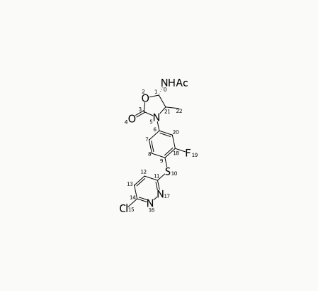 CC(=O)N[C@H]1OC(=O)N(c2ccc(Sc3ccc(Cl)nn3)c(F)c2)C1C